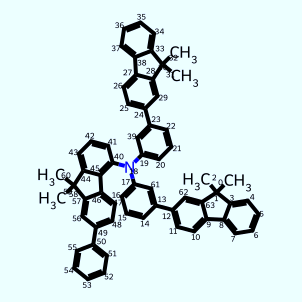 CC1(C)c2ccccc2-c2ccc(-c3cccc(N(c4cccc(-c5ccc6c(c5)C(C)(C)c5ccccc5-6)c4)c4cccc5c4-c4ccc(-c6ccccc6)cc4C5(C)C)c3)cc21